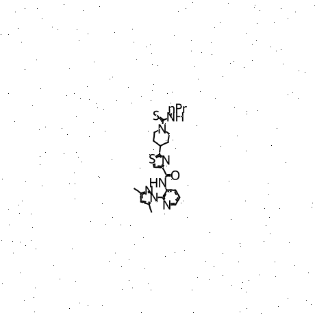 CCCNC(=S)N1CCC(c2nc(C(=O)Nc3cccnc3-n3nc(C)cc3C)cs2)CC1